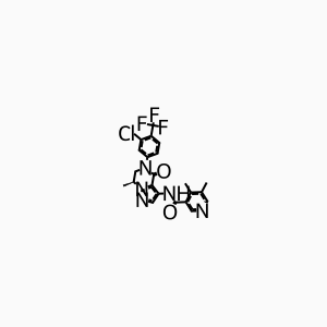 Cc1cncc(C(=O)Nc2cnn3c2C(=O)N(c2ccc(C(F)(F)F)c(Cl)c2)C[C@@H]3C)c1C